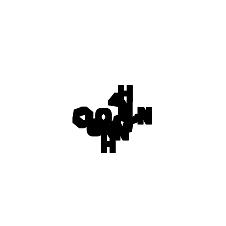 N#Cc1cnc(NC(=O)Oc2ccccc2)cc1NC1CC1